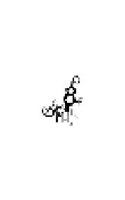 CN(C)[C@]1(C(=O)Nc2cc(F)c3c(c2)CC(C=O)C3)CCOC1